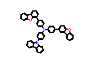 c1ccc2c(c1)oc1ccc(-c3ccc(N(c4ccc(-c5cccc6c5oc5ccccc56)cc4)c4ccc(-n5c6ccccc6c6ccccc65)cc4)cc3)cc12